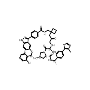 Cc1ncsc1-c1ccc([C@H](C)NC(=O)[C@@H]2C[C@@H](O)CN2C(=O)[C@@H](NCC(=O)CC2(CNC(=O)c3ccc(-c4n[nH]c5ccc(O[C@H](C)c6c(Cl)cncc6Cl)cc45)cc3)CCC2)C(C)(C)C)cc1